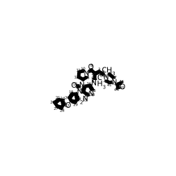 CC(C)(C=C(C#N)C(=O)N1CCC[C@@H](n2c(=O)n(-c3ccc(Oc4ccccc4)cc3)c3c(N)nccc32)C1)N1CCN(C2COC2)CC1